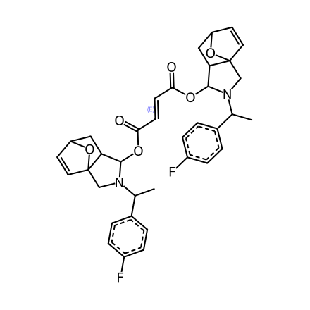 CC(c1ccc(F)cc1)N1CC23C=CC(CC2C1OC(=O)/C=C/C(=O)OC1C2CC4C=CC2(CN1C(C)c1ccc(F)cc1)O4)O3